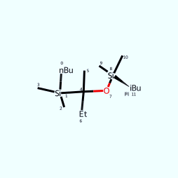 CCCC[Si](C)(C)C(C)(CC)O[Si](C)(C)[C@H](C)CC